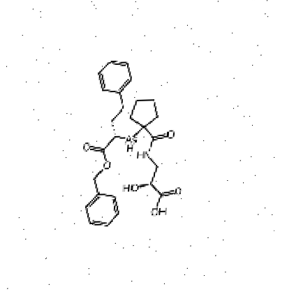 O=C(OCc1ccccc1)[C@H](CCc1ccccc1)[AsH]C1(C(=O)NC[C@H](O)C(=O)O)CCCC1